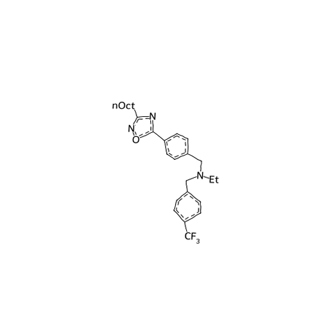 CCCCCCCCc1noc(-c2ccc(CN(CC)Cc3ccc(C(F)(F)F)cc3)cc2)n1